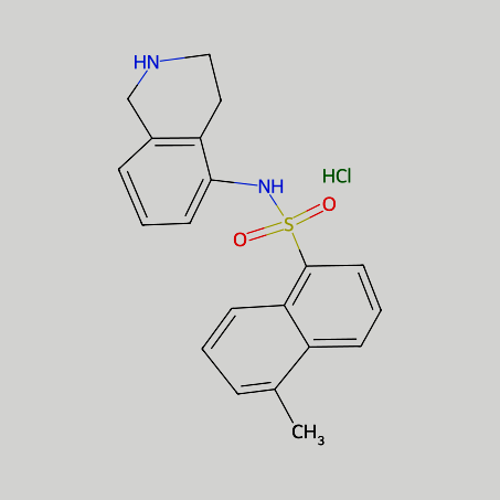 Cc1cccc2c(S(=O)(=O)Nc3cccc4c3CCNC4)cccc12.Cl